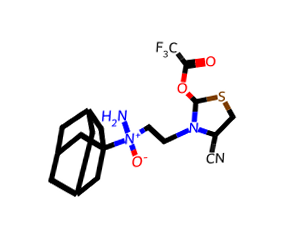 N#CC1CSC(OC(=O)C(F)(F)F)N1CC[N+](N)([O-])C12CC3CC(CC(C3)C1)C2